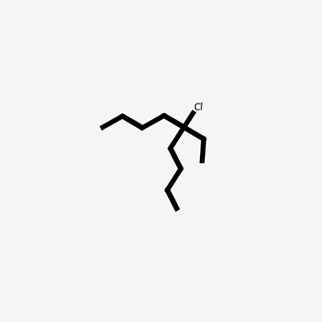 CCCCC(Cl)(CC)CCCC